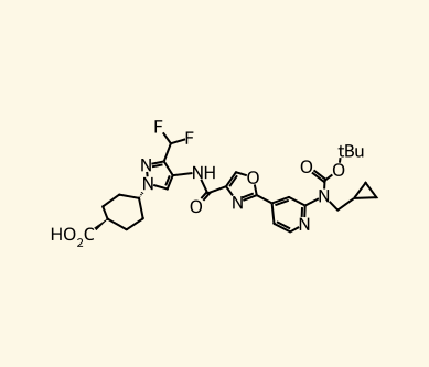 CC(C)(C)OC(=O)N(CC1CC1)c1cc(-c2nc(C(=O)Nc3cn([C@H]4CC[C@H](C(=O)O)CC4)nc3C(F)F)co2)ccn1